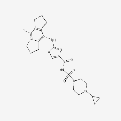 O=C(NS(=O)(=O)N1CCN(C2CC2)CC1)c1coc(Nc2c3c(c(F)c4c2CCC4)CCC3)n1